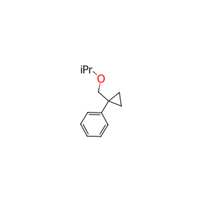 CC(C)OCC1(c2ccccc2)CC1